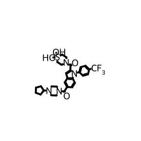 O=C(c1ccc2c(c1)cc(C(=O)N1CCS(O)(O)CC1)n2-c1ccc(C(F)(F)F)cc1)N1CCN(C2CCCC2)CC1